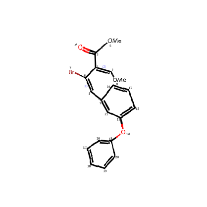 CO/C=C(C(=O)OC)\C(Br)=C/c1cccc(Oc2ccccc2)c1